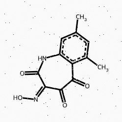 Cc1cc(C)c2c(c1)NC(=O)C(=NO)C(=O)C2=O